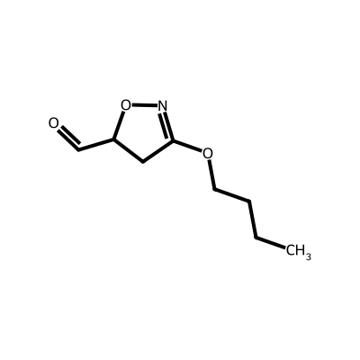 CCCCOC1=NOC(C=O)C1